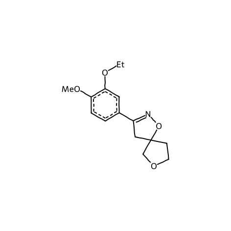 CCOc1cc(C2=NOC3(CCOC3)C2)ccc1OC